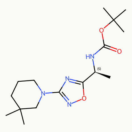 C[C@H](NC(=O)OC(C)(C)C)c1nc(N2CCCC(C)(C)C2)no1